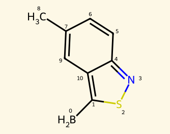 Bc1snc2ccc(C)cc12